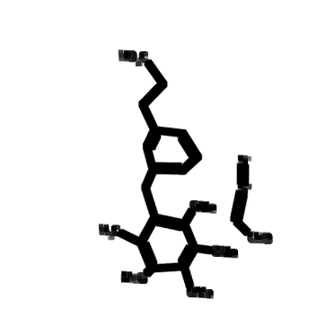 COc1c(C)c(Cc2cccc(CCC(=O)O)c2)c(OC)c(OC)c1OC.[N-]=[N+]=CC=O